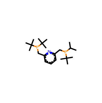 CC(C)P(Cc1cccc(CP(C(C)(C)C)C(C)(C)C)n1)C(C)(C)C